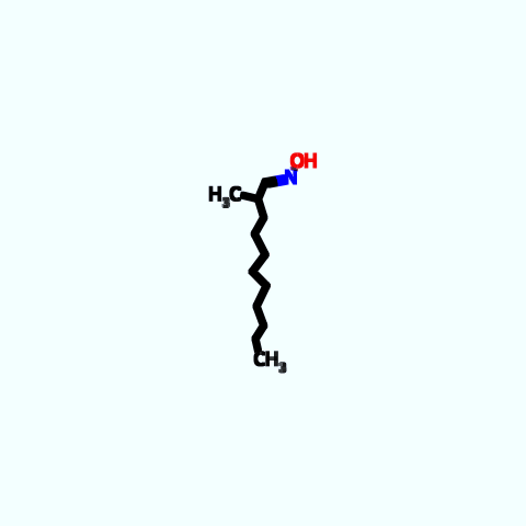 CCCCCCCCCC(C)/C=N/O